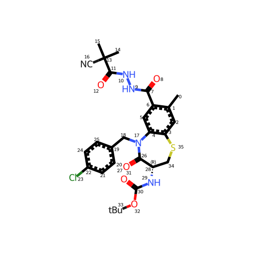 Cc1cc2c(cc1C(=O)NNC(=O)C(C)(C)C#N)N(Cc1ccc(Cl)cc1)C(=O)[C@@H](NC(=O)OC(C)(C)C)CS2